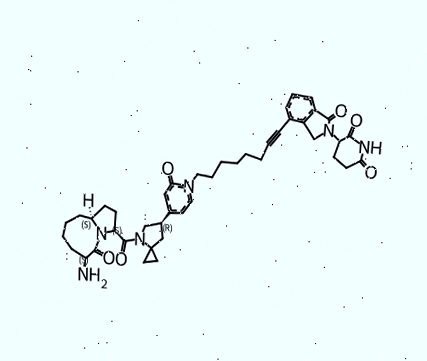 N[C@H]1CCCC[C@H]2CC[C@@H](C(=O)N3C[C@@H](c4ccn(CCCCCCC#Cc5cccc6c5CN(C5CCC(=O)NC5=O)C6=O)c(=O)c4)CC34CC4)N2C1=O